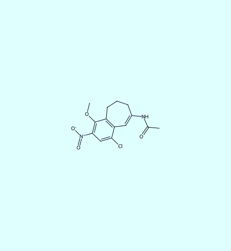 COc1c([N+](=O)[O-])cc(Cl)c2c1CCCC(NC(C)=O)=C2